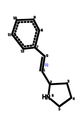 C(=C\C1CCCN1)/c1ccccc1